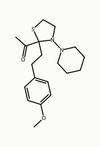 COc1ccc(CCC2(C(C)=O)SCCN2N2CCCCC2)cc1